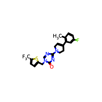 Cc1ccc(F)cc1C1=CCN(c2ncn(Cc3ccc(C(F)(F)F)s3)c(=O)n2)CC1